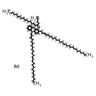 CCCCCCCCCCCCCCCCCCCCCCCC=CCCc1ccccc1N=C(CCCC)C(CCCCCCCCCCCCCCC)=Nc1ccccc1CCC=CCCCCCCCCCCCCCCCCCCCCCCC.[Pd]